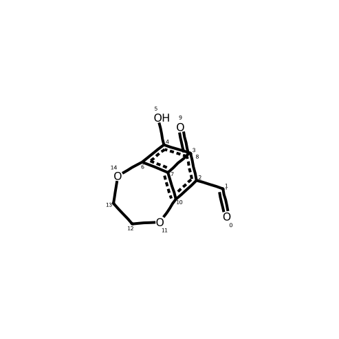 O=[C]c1cc(O)c2c([C]=O)c1OCCO2